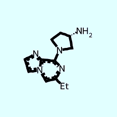 CCc1cn2ccnc2c(N2CC[C@H](N)C2)n1